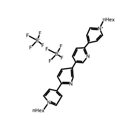 CCCCCC[n+]1ccc(-c2ccc(-c3ccc(-c4cc[n+](CCCCCC)cc4)nc3)cn2)cc1.F[B-](F)(F)F.F[B-](F)(F)F